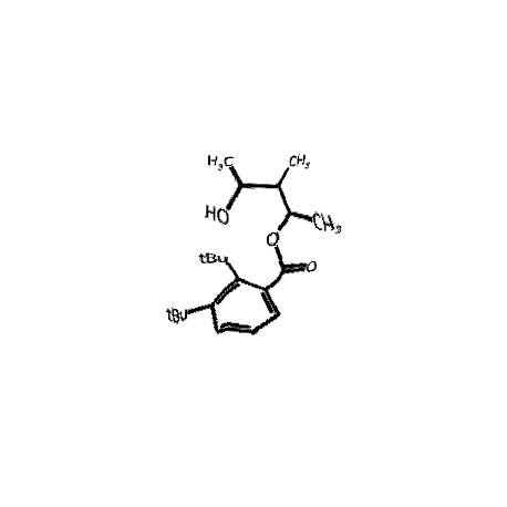 CC(O)C(C)C(C)OC(=O)c1cccc(C(C)(C)C)c1C(C)(C)C